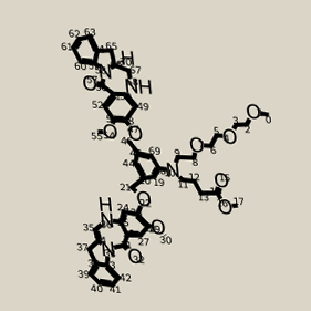 COCCOCCOCCN(CCCC(=O)OC)c1cc(COc2cc3c(cc2OC)C(=O)N2C(=CN3)Cc3ccccc32)cc(COc2cc3c(cc2OC)C(=O)N2c4ccccc4C[C@H]2CN3)c1